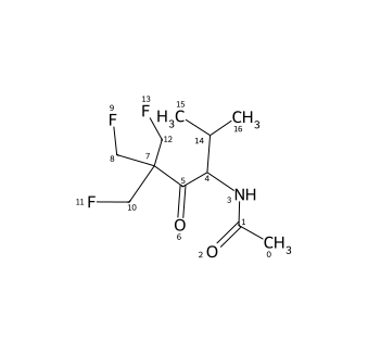 CC(=O)NC(C(=O)C(CF)(CF)CF)C(C)C